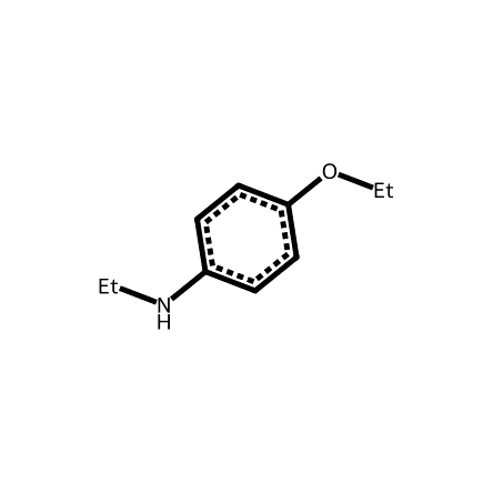 [CH2]CNc1ccc(OCC)cc1